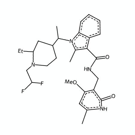 CCC1CC(C(C)n2c(C)c(C(=O)NCc3c(OC)cc(C)[nH]c3=O)c3ccccc32)CCN1CC(F)F